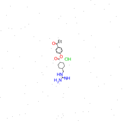 CCC(=O)c1ccc(OC(=O)[C@H]2CC[C@H](CNC(=N)N)CC2)cc1.Cl